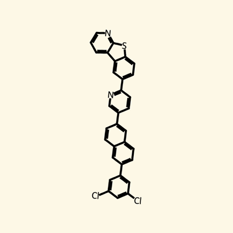 Clc1cc(Cl)cc(-c2ccc3cc(-c4ccc(-c5ccc6sc7ncccc7c6c5)nc4)ccc3c2)c1